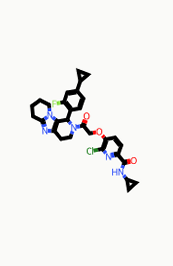 O=C(NC1CC1)c1ccc(OCC(=O)N2CCc3nc4n(c3C2c2ccc(C3CC3)cc2F)CCCC4)c(Cl)n1